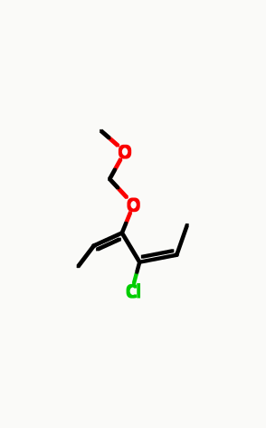 C/C=C(Cl)\C(=C/C)OCOC